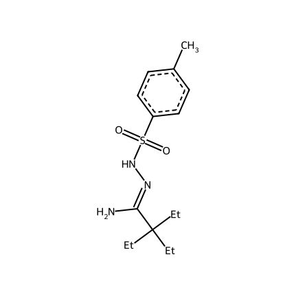 CCC(CC)(CC)C(N)=NNS(=O)(=O)c1ccc(C)cc1